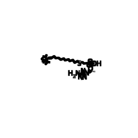 CC(C)[Si](C#CCCCCCCCCCCCSCCCOP(=O)(O)CO[C@H](C)Cn1cnc2c(N)ncnc21)(C(C)C)C(C)C